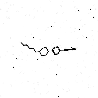 CCCCCC[C@H]1CC[C@H](c2ccc(C#CC#N)cc2)CC1